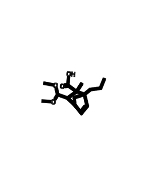 CCCC12C=CC(C1)C(C(OC)OC)C2(C)C(=O)O